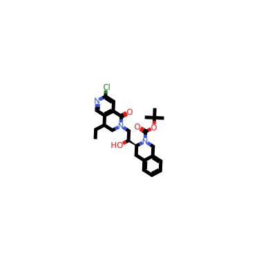 CCC1CN(CC(O)[C@@H]2Cc3ccccc3CN2C(=O)OC(C)(C)C)C(=O)c2cc(Cl)ncc21